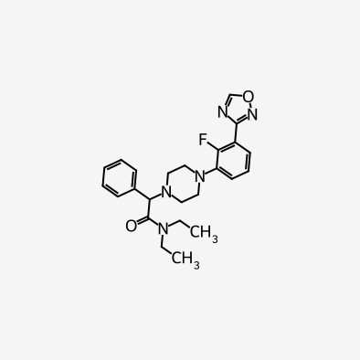 CCN(CC)C(=O)C(c1ccccc1)N1CCN(c2cccc(-c3ncon3)c2F)CC1